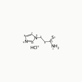 Cl.NC(=S)CCn1ccnc1